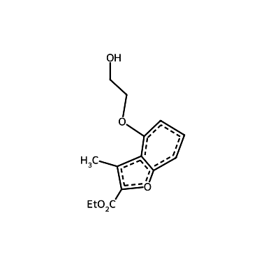 CCOC(=O)c1oc2cccc(OCCO)c2c1C